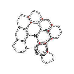 c1ccc(-c2ccccc2N(c2ccccc2-c2ccccc2)c2ccccc2-c2ccccc2N(c2ccccc2-c2ccccc2)c2cccc3c2oc2ccccc23)cc1